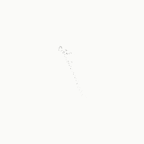 CCC=CCC=CCC=CCC=CCC=CCC=CCCC(=O)NCCCCC(NC(=O)c1cccnc1)C(=O)OC